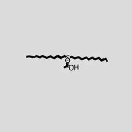 CC(=O)O.CCCCCCCCCCCCSCCCCCCCCCCCC